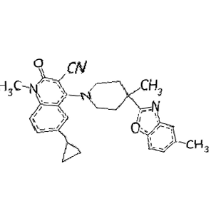 Cc1ccc2oc(C3(C)CCN(c4c(C#N)c(=O)n(C)c5ccc(C6CC6)cc45)CC3)nc2c1